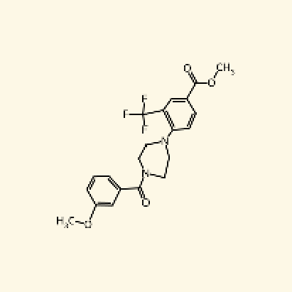 COC(=O)c1ccc(N2CCN(C(=O)c3cccc(OC)c3)CC2)c(C(F)(F)F)c1